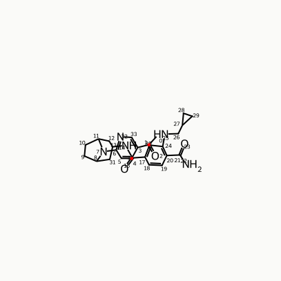 CC(=O)c1ccc(N2C3CCC2CC(NC(=O)c2ccc(C(N)=O)c(NCC4CC4)c2)C3)nc1